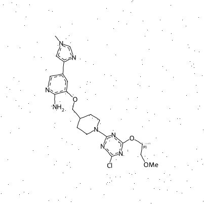 COC[C@@H](C)Oc1nc(Cl)nc(N2CCC(COc3cc(-c4cn(C)cn4)cnc3N)CC2)n1